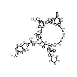 C=C[C@@H]1C[C@@]12NC(=O)[C@@H]1C[C@@H](OC(=O)N3Cc4cnc(C)nc4C3)CN1C(=O)[C@@H](NC(=O)OC1CCCC1)CCCCCCCNc1ccc(F)cc1S(=O)(=O)NC2=O